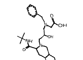 CC(C)(C)NC(=O)C1CC2CCCCC2CN1CC(O)CN(CC(=O)O)Cc1ccccc1